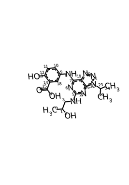 CC(O)CNc1nc(Nc2ccc(O)c(C(=O)O)c2)c2nnn(C(C)C)c2n1